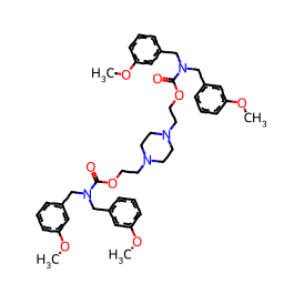 COc1cccc(CN(Cc2cccc(OC)c2)C(=O)OCCN2CCN(CCOC(=O)N(Cc3cccc(OC)c3)Cc3cccc(OC)c3)CC2)c1